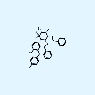 CC[C@@H]1[C@@H](C)[C@H](OCc2ccccc2)[C@@H](OCc2ccccc2)[C@H](c2ccc(Cl)c(Cc3ccc(C)cc3)c2)C1(F)F